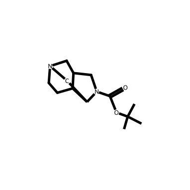 CC(C)(C)OC(=O)N1CC2CN3CCC2C1C3